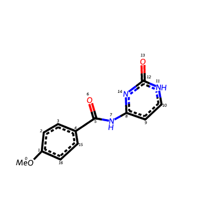 COc1ccc(C(=O)Nc2cc[nH]c(=O)n2)cc1